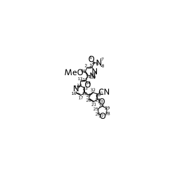 COc1cc(C(=O)N(C)C)nnc1-c1cc2nccc(-c3ccc(OC4CCOCC4)c(C#N)c3)c2o1